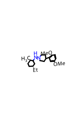 CC[C@@H]1CC[C@@H](C)C(NN2CCC(c3cc(OC)ccc3OC)CC2)C1